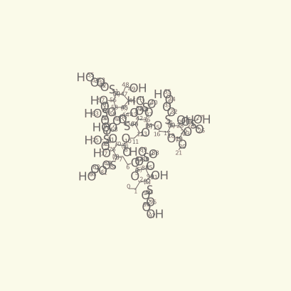 CCC1O[C@H](OCC2O[C@H](OCC3O[C@H](OCC4O[C@H](OC)C(OS(=O)(=O)O)C(O)[C@@H]4SOOOO)C(OS(=O)(=O)O)C(OC[C@H]4CC(CO)[C@@H](SOOOO)C(O)C4OS(=O)(=O)O)[C@@H]3SOOOO)C(OS(=O)(=O)O)C(O)[C@@H]2SOOOO)C(OS(=O)(=O)O)C(O)[C@@H]1SOOOO